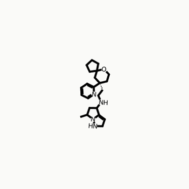 CC1CC(NCC[C@@]2(c3ccccn3)CCOC3(CCCC3)C2)C2=CCNN21